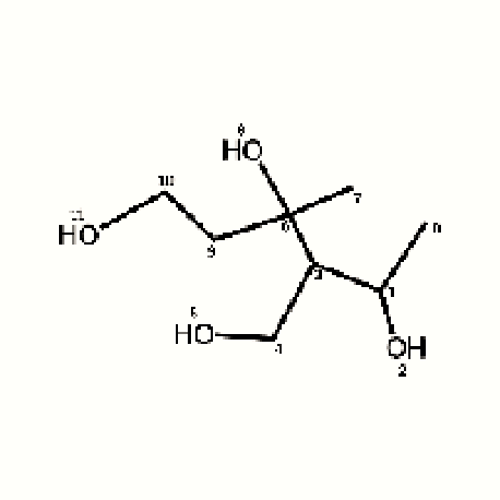 CC(O)C(CO)C(C)(O)CCO